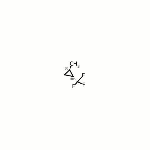 C[C@@H]1C[C@H]1C(F)(F)F